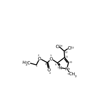 CCOC(=O)Oc1nn(C)cc1C(Cl)Cl